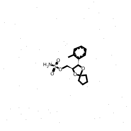 Cc1ccccc1[C@@H]1OC2(CCCC2)O[C@H]1COS(N)(=O)=O